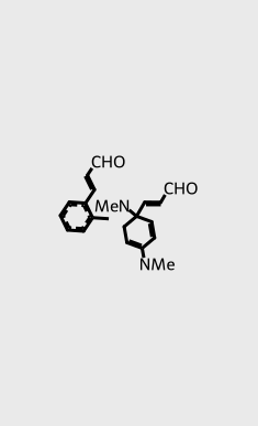 CNC1=CCC(C=CC=O)(NC)C=C1.Cc1ccccc1C=CC=O